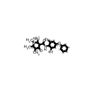 CCCCc1c(C(=O)Nc2c(CC)cc(Oc3ccccc3)cc2CC)c(=O)c(C)c(C)n1C